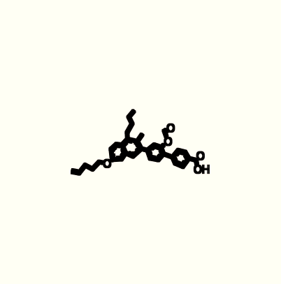 C=CCCCOc1ccc2c(CCCC)c(C)c(-c3ccc(-c4ccc(C(=O)O)cc4)c(OC=O)c3)cc2c1